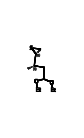 CCOC(C[C@H](C)[C@H]1CS1)OCC